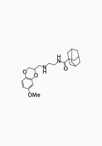 COc1ccc2c(c1)OC(CNCCNC(=O)C13CC4CC(CC(C4)C1)C3)CO2